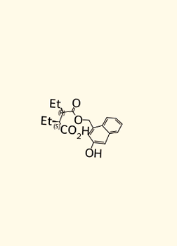 CC[C@H](C(=O)O)[C@@H](CC)C(=O)OCc1cc(O)cc2ccccc12